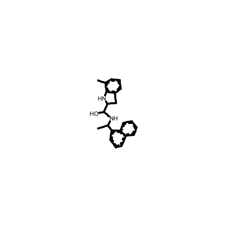 Cc1cccc2c1NC(C(O)NC(C)c1cccc3ccccc13)C2